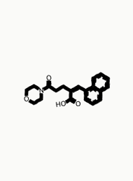 O=C(O)C(=Cc1cccc2ccccc12)CCC(=O)N1CCOCC1